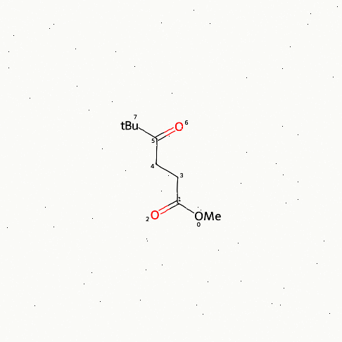 COC(=O)CCC(=O)C(C)(C)C